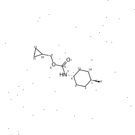 C[C@H]1CC[C@H](NC(=O)OCC2CC2)CC1